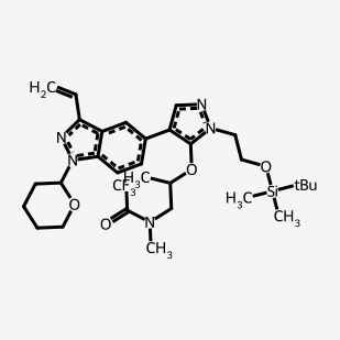 C=Cc1nn(C2CCCCO2)c2ccc(-c3cnn(CCO[Si](C)(C)C(C)(C)C)c3OC(C)CN(C)C(=O)C(F)(F)F)cc12